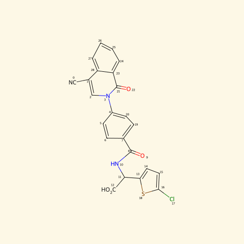 N#Cc1cn(-c2ccc(C(=O)NC(C(=O)O)c3ccc(Cl)s3)cc2)c(=O)c2ccccc12